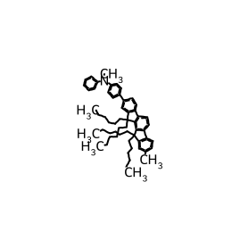 CCCCCCC1(CCCCCC)c2cc(C)ccc2-c2ccc3c(c21)C(CCCCCC)(CCCCCC)c1cc(-c2ccc(N(C)c4ccccc4)cc2)ccc1-3